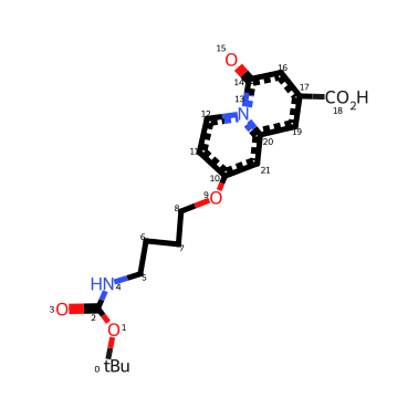 CC(C)(C)OC(=O)NCCCCOc1ccn2c(=O)cc(C(=O)O)cc2c1